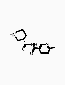 Cc1ccc(C(=O)NC(=O)[C@H]2CCCNC2)cn1